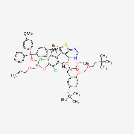 C=CCOC[C@H](COC(c1ccccc1)(c1ccc(OC)cc1)c1ccc(OC)cc1)Oc1c(Cl)c(C)c(-c2c(Br)sc3ncnc(O[C@H](Cc4cc(O[Si](C)(C)C(C)(C)C)ccc4OCOCC[Si](C)(C)C)C(=O)OC(C)(C)C)c23)c(C)c1Cl